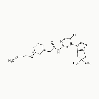 COCCO[C@H]1CCC[C@@H](CC(=O)Nc2cc(-c3cnn4c3CC(C)(C)C4)c(Cl)cn2)C1